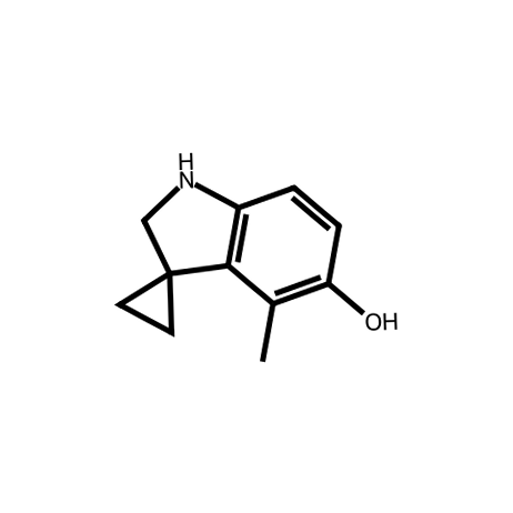 Cc1c(O)ccc2c1C1(CC1)CN2